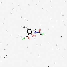 CC(C)(C)c1cc(CNC(=O)CCl)c(O)c(C(=O)CCl)c1